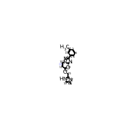 Cc1cccc(-c2ncn(/C=C\C(=O)OCc3nnc[nH]3)n2)c1